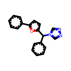 c1ccc(-c2ccc(C(c3ccccc3)n3cnnc3)o2)cc1